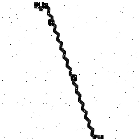 CCCCCCCCCCCCCCOCCCCCCCCCCCCOCCCN